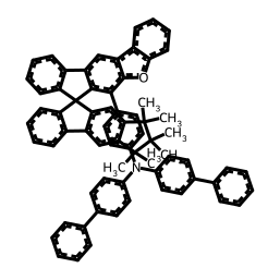 CC1(C)c2cc3c(cc2C(C)(C)C1(C)C)C1(c2ccccc2-3)c2ccccc2-c2cc3c(oc4ccccc43)c(-c3ccc(N(c4ccc(-c5ccccc5)cc4)c4ccc(-c5ccccc5)cc4)cc3)c21